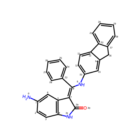 Nc1ccc2c(c1)/C(=C(/Nc1ccc3c(c1)Cc1ccccc1-3)c1ccccc1)C(=O)N2